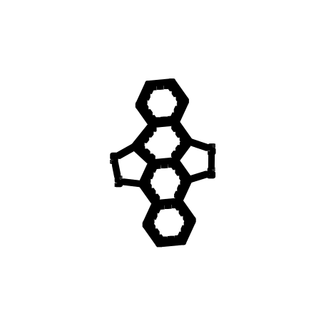 c1ccc2c3c4c(c5ccccc5c5c4c(c2c1)SS5)SS3